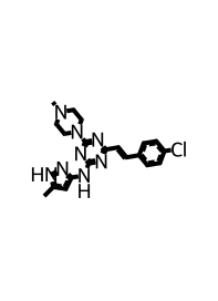 Cc1cc(Nc2nc(/C=C/c3ccc(Cl)cc3)nc(N3CCN(C)CC3)n2)n[nH]1